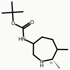 CC1CCC(NC(=O)OC(C)(C)C)CN[C@H]1C